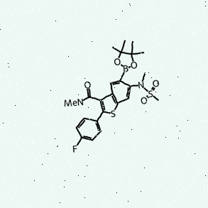 CNC(=O)c1c(-c2ccc(F)cc2)sc2cc(N(C)S(C)(=O)=O)c(B3OC(C)(C)C(C)(C)O3)cc12